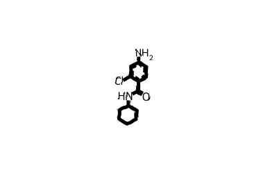 Nc1ccc(C(=O)NC2CCCCC2)c(Cl)c1